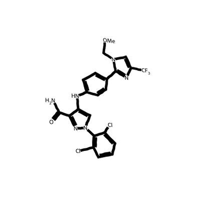 COCn1cc(C(F)(F)F)nc1-c1ccc(Nc2cn(-c3c(Cl)cccc3Cl)nc2C(N)=O)cc1